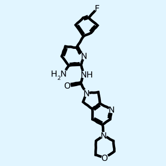 Nc1ccc(-c2ccc(F)cc2)nc1NC(=O)N1Cc2cc(N3CCOCC3)cnc2C1